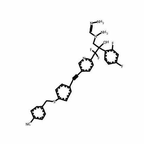 N#Cc1ccc(CSc2ccc(C#Cc3ccc(C(F)(F)C(O)(CN(N)/C=N\N)c4ccc(F)cc4F)nc3)cc2)cc1